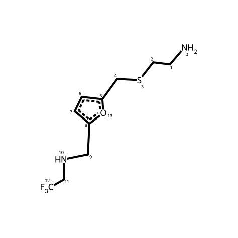 NCCSCc1ccc(CNCC(F)(F)F)o1